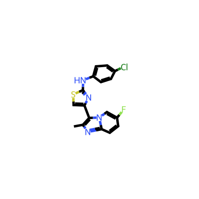 Cc1nc2ccc(F)cn2c1-c1csc(Nc2ccc(Cl)cc2)n1